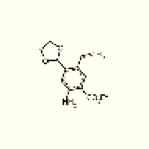 C=Cc1cc(C(=O)OCC)c(N)cc1C1OCCO1